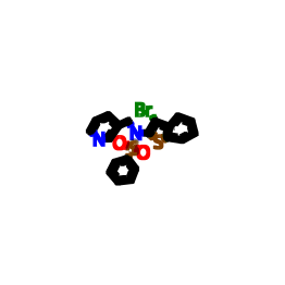 O=S(=O)(c1ccccc1)N(Cc1cccnc1)c1sc2ccccc2c1Br